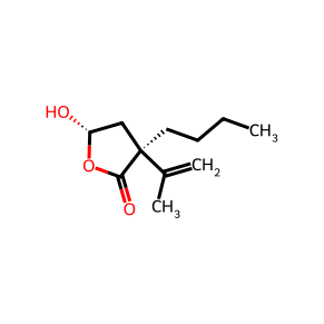 C=C(C)[C@]1(CCCC)C[C@@H](O)OC1=O